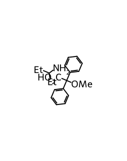 CCC(N)CC.COC(C(=O)O)(c1ccccc1)c1ccccc1